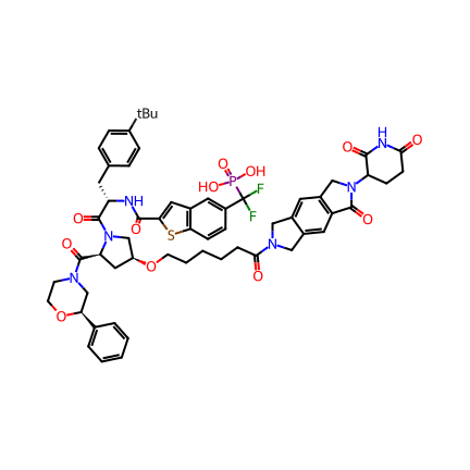 CC(C)(C)c1ccc(C[C@H](NC(=O)c2cc3cc(C(F)(F)P(=O)(O)O)ccc3s2)C(=O)N2C[C@@H](OCCCCCC(=O)N3Cc4cc5c(cc4C3)C(=O)N(C3CCC(=O)NC3=O)C5)C[C@H]2C(=O)N2CCO[C@H](c3ccccc3)C2)cc1